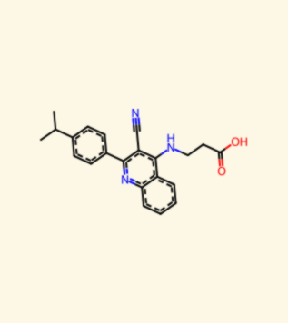 CC(C)c1ccc(-c2nc3ccccc3c(NCCC(=O)O)c2C#N)cc1